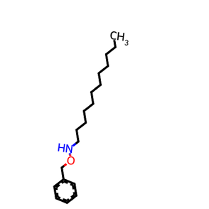 CCCCCCCCCCCCNOCc1ccccc1